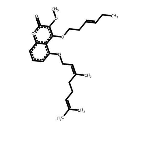 CCC=CCCOc1c(OC)c(=O)oc2cccc(OCC=C(C)CCC=C(C)C)c12